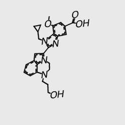 COc1cc(C(=O)O)cc2nc(-c3cc4cccc5c4n3CCN5CCCO)n(CC3CC3)c12